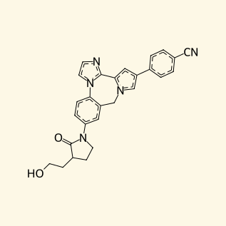 N#Cc1ccc(-c2cc3n(c2)Cc2cc(N4CCC(CCO)C4=O)ccc2-n2ccnc2-3)cc1